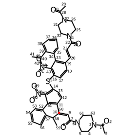 CC(=O)N1CCN(C(=O)/C=C/c2ccc(Sc3ccc(/C=C/C(=O)N4CCN(C(C)=O)CC4)c(-c4ccccc4C(C)C)c3[N+](=O)[O-])c([N+](=O)[O-])c2-c2ccccc2C(C)C)CC1